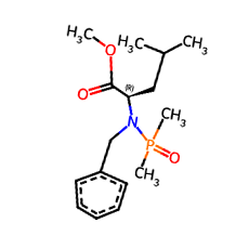 COC(=O)[C@@H](CC(C)C)N(Cc1ccccc1)P(C)(C)=O